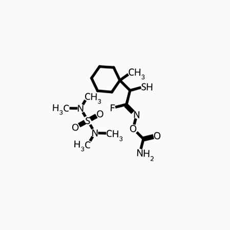 CC1(C(S)C(F)=NOC(N)=O)CCCCC1.CN(C)S(=O)(=O)N(C)C